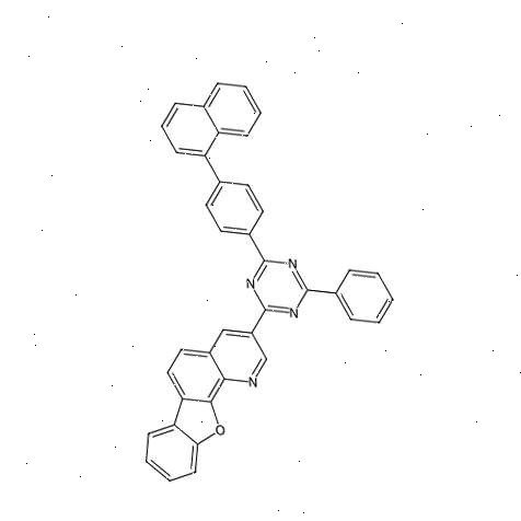 c1ccc(-c2nc(-c3ccc(-c4cccc5ccccc45)cc3)nc(-c3cnc4c(ccc5c6ccccc6oc54)c3)n2)cc1